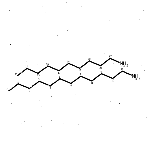 CCCCCCCCCCCCN.CCCCCCCCCCN